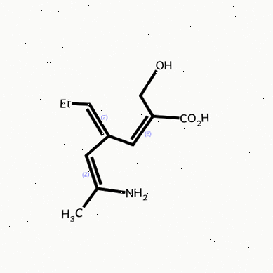 CC/C=C(\C=C(\C)N)/C=C(\CO)C(=O)O